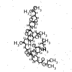 CCC(C)OC(=O)CC1CCN(C(=O)[C@H](CC(C)CCC(C)C[C@@H]2NCCN([C@@H](CC(C)C)C(=O)N3CCC4(CC3)OCC(CN(C)C)CO4)C2=O)N2CCN[C@@H](CC(C)C)C2=O)CC1